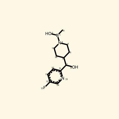 CB(O)N1CCC(C(O)c2ccc(F)cn2)CC1